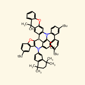 Cc1cc2c3c(c1)N(c1ccc4c(c1)C(C)(C)CCC4(C)C)c1c(oc4ccc(C(C)(C)C)cc14)B3c1cc3c(cc1N2c1ccc(C(C)(C)C)cc1-c1ccc(C(C)(C)C)cc1)Oc1ccccc1C3(C)C